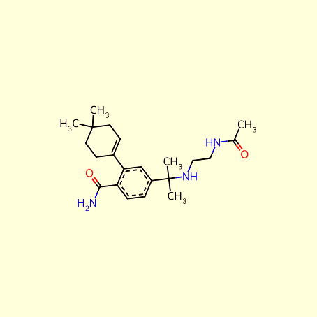 CC(=O)NCCNC(C)(C)c1ccc(C(N)=O)c(C2=CCC(C)(C)CC2)c1